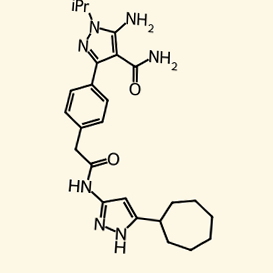 CC(C)n1nc(-c2ccc(CC(=O)Nc3cc(C4CCCCCC4)[nH]n3)cc2)c(C(N)=O)c1N